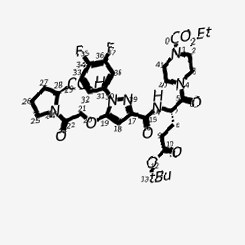 CCOC(=O)N1CCN(C(=O)[C@H](CCC(=O)OC(C)(C)C)NC(=O)c2cc(OCC(=O)N3CCC[C@H]3C(=O)O)n(-c3ccc(F)c(F)c3)n2)CC1